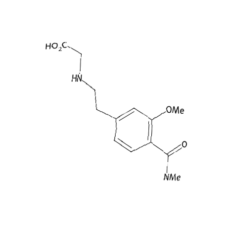 CNC(=O)c1ccc(CCNCC(=O)O)cc1OC